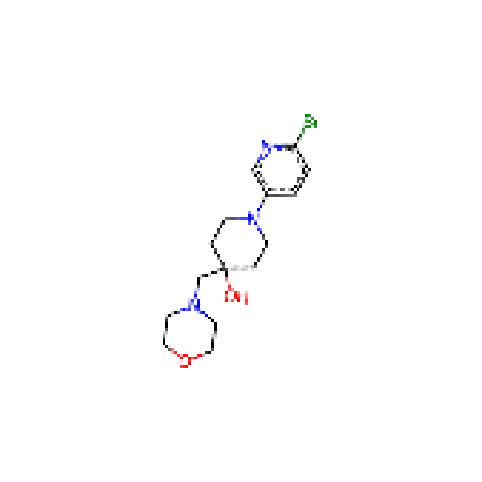 OC1(CN2CCOCC2)CCN(c2ccc(Br)nc2)CC1